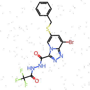 O=C(NNC(=O)C(F)(F)F)c1nnc2c(Br)cc(SCc3ccccc3)cn12